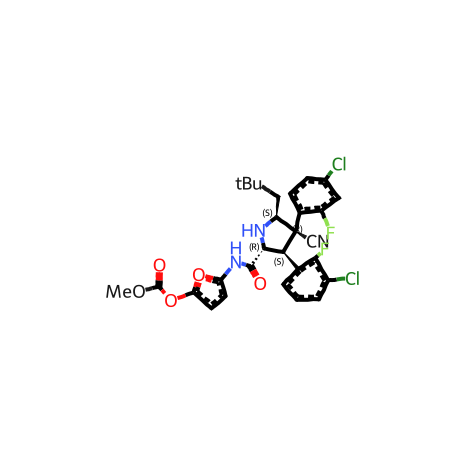 COC(=O)Oc1ccc(NC(=O)[C@@H]2N[C@@H](CC(C)(C)C)[C@](C#N)(c3ccc(Cl)cc3F)[C@H]2c2cccc(Cl)c2F)o1